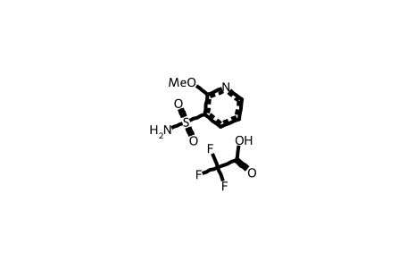 COc1ncccc1S(N)(=O)=O.O=C(O)C(F)(F)F